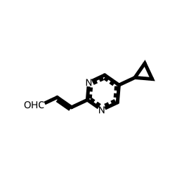 O=CC=Cc1ncc(C2CC2)cn1